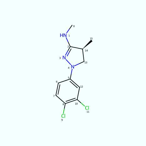 CNC1=NN(c2ccc(Cl)c(Cl)c2)C[C@@H]1C